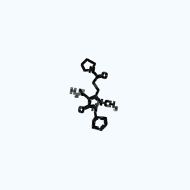 Cn1c(CCC(=O)N2CCCC2)c(N)c(=O)n1-c1ccccc1